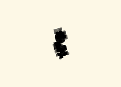 CC(C)N(C)C(=O)C(C)n1cc(B2OC(C)(C)C(C)(C)O2)cn1